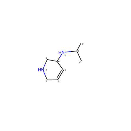 CC(C)NC1C=CCNC1